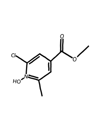 COC(=O)c1cc(C)[n+](O)c(Cl)c1